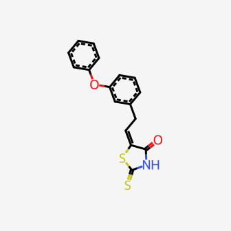 O=C1NC(=S)S/C1=C/Cc1cccc(Oc2ccccc2)c1